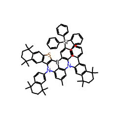 Cc1cc2c3c(c1)N(c1ccc4c(c1)C(C)(C)CCC4(C)C)c1c(sc4cc5c(cc14)C(C)(C)CCC5(C)C)B3c1cc3c(cc1N2c1cc2c(cc1-c1ccccc1)C(C)(C)CCC2(C)C)-c1ccccc1[Si]3(c1ccccc1)c1ccccc1